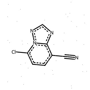 N#Cc1ccc(Cl)n2ncnc12